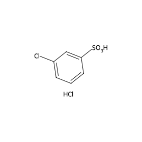 Cl.O=S(=O)(O)c1cccc(Cl)c1